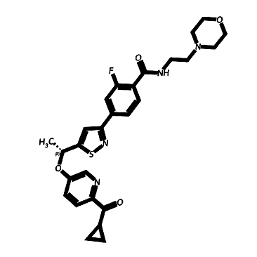 C[C@@H](Oc1ccc(C(=O)C2CC2)nc1)c1cc(-c2ccc(C(=O)NCCN3CCOCC3)c(F)c2)ns1